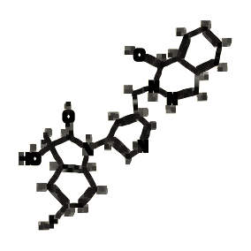 CC1(O)C(=O)N(c2cncc(Cn3ncc4ccccc4c3=O)c2)c2ccc(F)cc21